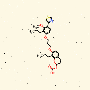 CCCc1c(OCCCOc2ccc(-c3cscn3)c(OC)c2CCC)ccc2c1OC(OC(=O)O)CC2